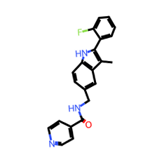 Cc1c(-c2ccccc2F)[nH]c2ccc(CNC(=O)c3ccncc3)cc12